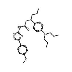 CCCC(CC(=O)Nc1nc(-c2ccc(OC)cc2)cs1)c1ccc([As](CCC)CCC)cc1